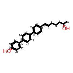 CC(O)CCCC=Cc1ccc(-c2ccc(-c3ccc(O)cc3)cc2)cc1